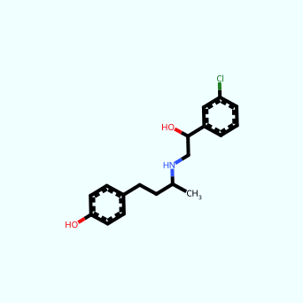 CC(CCc1ccc(O)cc1)NCC(O)c1cccc(Cl)c1